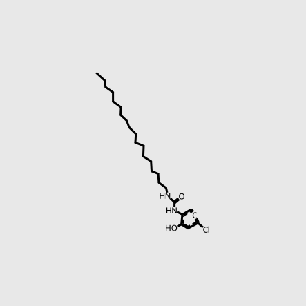 CCCCCCCCCCCCCCCCCCNC(=O)Nc1ccc(Cl)cc1O